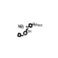 CCCCCOc1ccc(N(C)CCC2(O)CCN(Cc3ccccc3)CC2)cc1.Cl.Cl